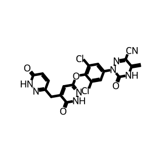 C=C1NC(=O)N(c2cc(Cl)c(Oc3cc(Cc4ccc(=O)[nH]n4)c(=O)[nH]n3)c(Cl)c2)N=C1C#N